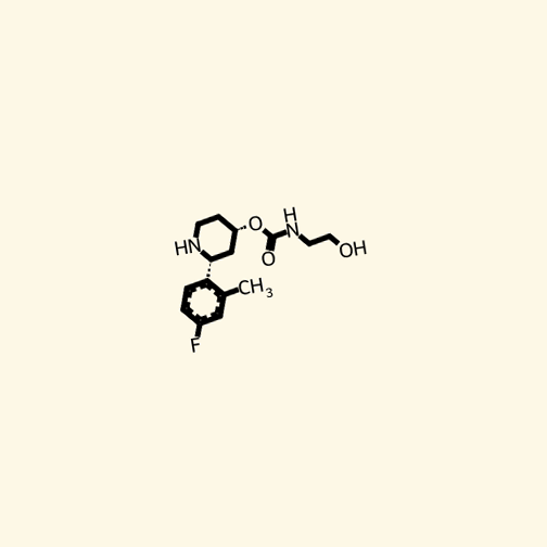 Cc1cc(F)ccc1[C@H]1C[C@@H](OC(=O)NCCO)CCN1